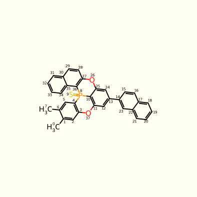 Cc1cc2c(cc1C)P1(=S)c3c(cc(-c4ccc5ccccc5c4)cc3Oc3ccc4ccccc4c31)O2